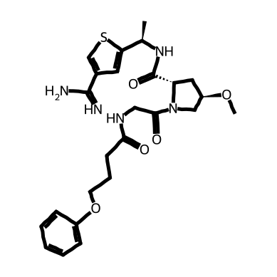 CO[C@@H]1C[C@@H](C(=O)N[C@H](C)c2cc(C(=N)N)cs2)N(C(=O)CNC(=O)CCCOc2ccccc2)C1